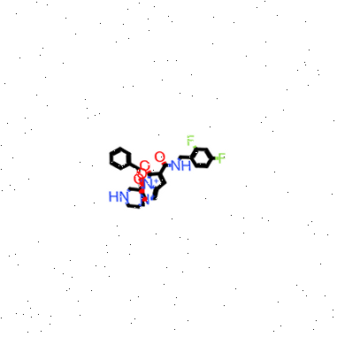 O=C(NCc1ccc(F)cc1F)C1=CC2=C[N+]34CCCC(=O)C3(CNCC4)[N+]2(OCc2ccccc2)C1=O